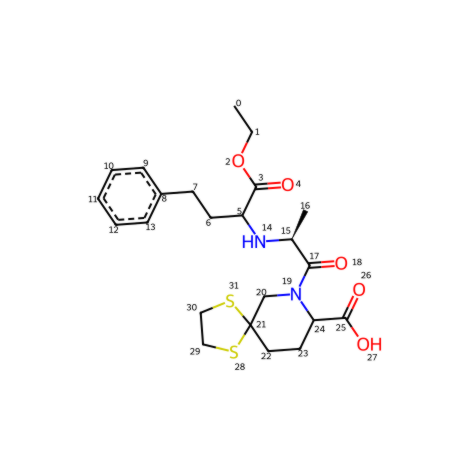 CCOC(=O)C(CCc1ccccc1)N[C@@H](C)C(=O)N1CC2(CCC1C(=O)O)SCCS2